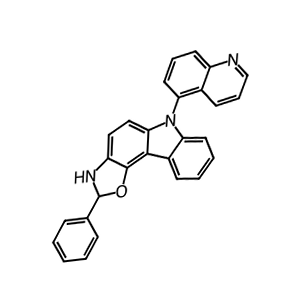 c1ccc(C2Nc3ccc4c(c3O2)c2ccccc2n4-c2cccc3ncccc23)cc1